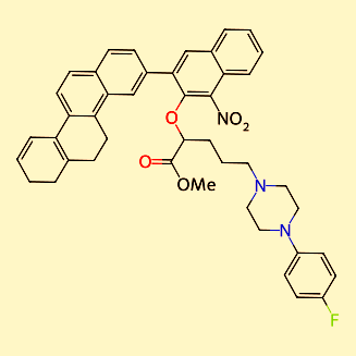 COC(=O)C(CCCN1CCN(c2ccc(F)cc2)CC1)Oc1c(-c2ccc3ccc4c(c3c2)CCC2=C4C=CCC2)cc2ccccc2c1[N+](=O)[O-]